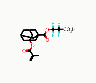 C=C(C)C(=O)OC12CC3CC(C1)CC(C(=O)OC(F)(F)C(F)(F)C(=O)O)(C3)C2